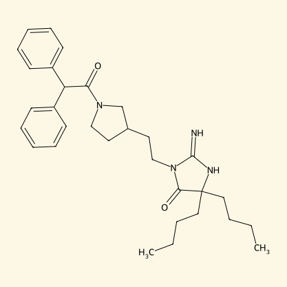 CCCCC1(CCCC)NC(=N)N(CCC2CCN(C(=O)C(c3ccccc3)c3ccccc3)C2)C1=O